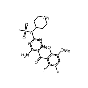 COc1cc(F)c(F)c(C(=O)c2cnc(N(C3CCNCC3)S(C)(=O)=O)nc2N)c1OC